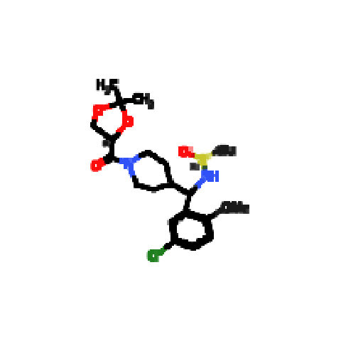 COc1ccc(Cl)cc1C(N[S@@+]([O-])C(C)(C)C)C1CCN(C(=O)[C@H]2COC(C)(C)O2)CC1